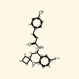 O=C(C=Cc1ccc(Cl)cc1)NC1CC2(CCC2)Oc2ccc(F)cc21